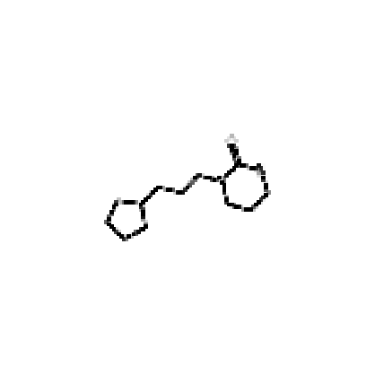 O=C1[N]CCCN1CCCC1CCCC1